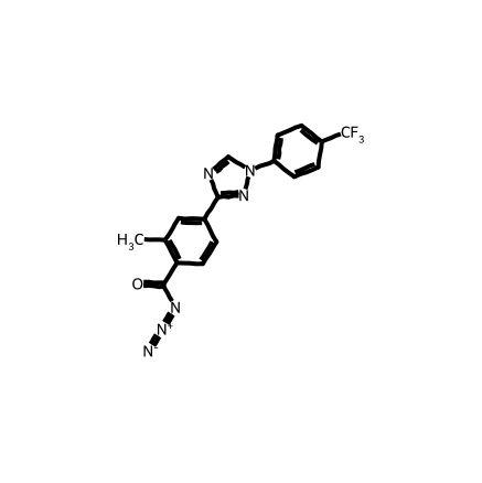 Cc1cc(-c2ncn(-c3ccc(C(F)(F)F)cc3)n2)ccc1C(=O)N=[N+]=[N-]